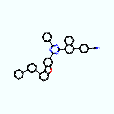 N#Cc1ccc(-c2ccc(-c3nc(-c4ccccc4)nc(-c4ccc5c(c4)oc4cccc(-c6cccc(-c7ccccc7)c6)c45)n3)c3ccccc23)cc1